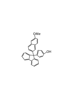 COc1ccc2cc(C3(c4ccc(O)cc4)c4ccccc4-c4ccccc43)ccc2c1